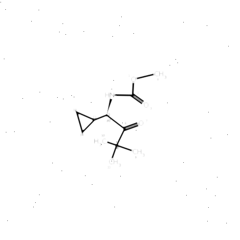 COC(=O)N[C@@H](C(=O)C(C)(C)C)C1CC1